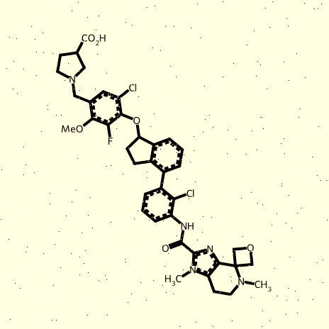 COc1c(CN2CCC(C(=O)O)C2)cc(Cl)c(OC2CCc3c(-c4cccc(NC(=O)c5nc6c(n5C)CCN(C)C65COC5)c4Cl)cccc32)c1F